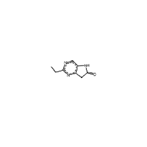 CCc1ncc2c(n1)CC(=O)N2